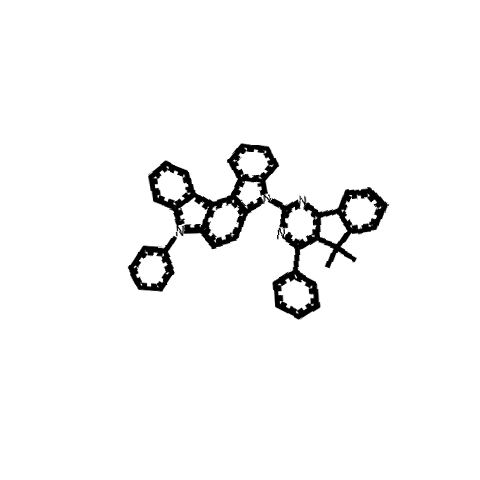 CC1(C)c2ccccc2-c2nc(-n3c4ccccc4c4c5c6ccccc6n(-c6ccccc6)c5ccc43)nc(-c3ccccc3)c21